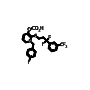 O=C(O)OC1=C(SCCC(F)(F)c2cccc(C(F)(F)F)c2)N(Cc2ccc(F)cc2)CC=C1